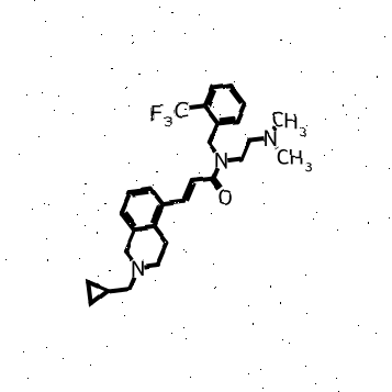 CN(C)CCN(Cc1ccccc1C(F)(F)F)C(=O)C=Cc1cccc2c1CCN(CC1CC1)C2